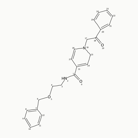 O=C(NCCOCc1ccccc1)C1=CCN(CC(=O)c2ccccc2)C=C1